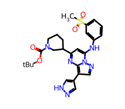 CC(C)(C)OC(=O)N1CCCC(c2cc(Nc3cccc(S(C)(=O)=O)c3)n3ncc(-c4cn[nH]c4)c3n2)C1